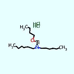 CCCCCC[N](CCCCCC)[Ti][O]CCCC.Cl.Cl